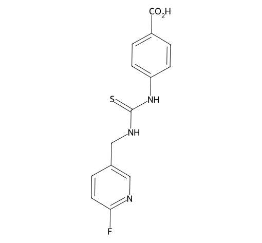 O=C(O)c1ccc(NC(=S)NCc2ccc(F)nc2)cc1